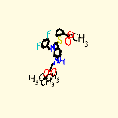 COC(=O)c1ccccc1Sc1cn(Cc2cc(F)cc(F)c2)c2cc(NCC(=O)OC(C)(C)C)ccc12